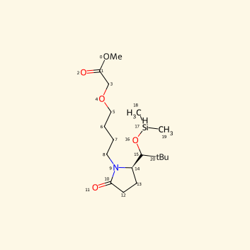 COC(=O)COCCCCN1C(=O)CC[C@@H]1C(O[SiH](C)C)C(C)(C)C